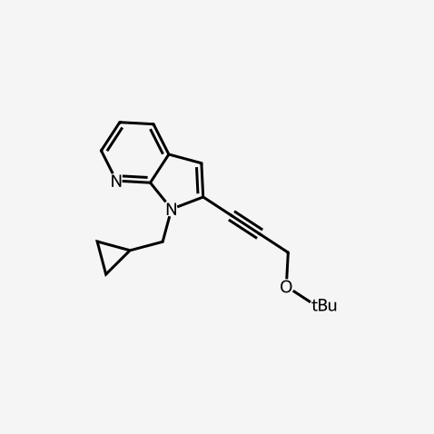 CC(C)(C)OCC#Cc1cc2cccnc2n1CC1CC1